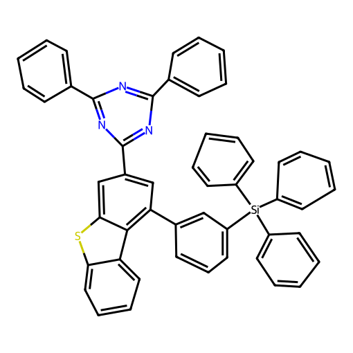 c1ccc(-c2nc(-c3ccccc3)nc(-c3cc(-c4cccc([Si](c5ccccc5)(c5ccccc5)c5ccccc5)c4)c4c(c3)sc3ccccc34)n2)cc1